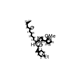 CCN1CCC2(CC1)C[C@@H]2C(=O)N[C@@H](CCCCCC(=O)CC1CC1)c1ncc(-c2cccnc2OC)[nH]1